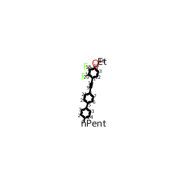 CCCCCc1ccc(-c2ccc(C#Cc3ccc(OCC)c(F)c3F)cc2)cc1